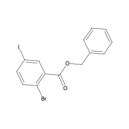 O=C(OCc1ccccc1)c1cc(I)ccc1Br